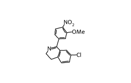 COc1cc(C2=NCCc3ccc(Cl)cc32)ccc1[N+](=O)[O-]